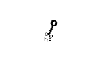 O=C(C#Cc1ccccc1)OC(F)(F)F